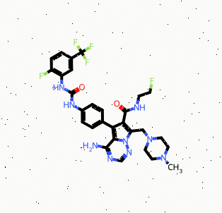 CN1CCN(Cc2c(C(=O)NCCF)c(-c3ccc(NC(=O)Nc4cc(C(F)(F)F)ccc4F)cc3)c3c(N)ncnn23)CC1